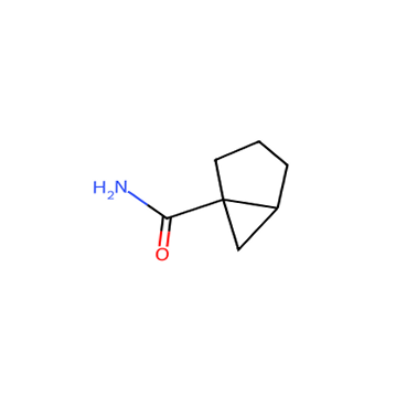 NC(=O)C12CCCC1C2